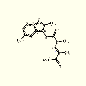 COC(=O)/C(C)=N/N(C)C(=O)Cc1c(C)oc2ccc(C)cc12